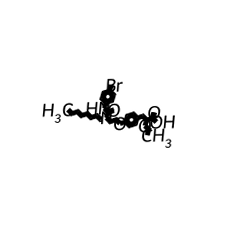 CCCCCCCCN(CCOc1ccc(CC(OCC)C(=O)O)cc1)C(=O)Nc1ccc(Br)cc1